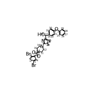 O=S(=O)(c1cc(Br)sc1Br)N1CCN(c2nc(C(O)c3ccc(Oc4ccccc4)cc3)ns2)CC1